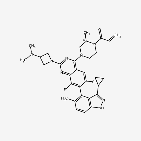 C=CC(=O)N1CCN(c2nc(N3CC(N(C)C)C3)nc3c(F)c(-c4c(C)ccc5[nH]nc(C6CC6)c45)c(Cl)cc23)C[C@H]1C